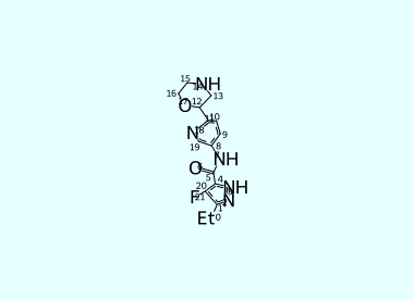 CCc1n[nH]c(C(=O)Nc2ccc(C3CNCCO3)nc2)c1F